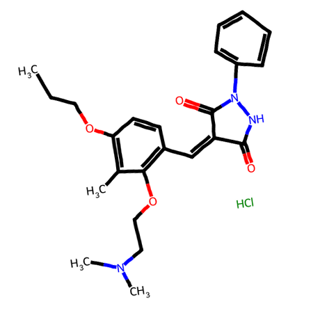 CCCOc1ccc(C=C2C(=O)NN(c3ccccc3)C2=O)c(OCCN(C)C)c1C.Cl